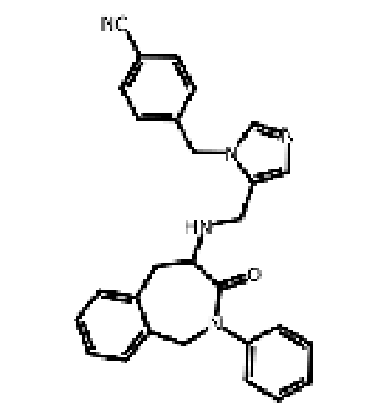 N#Cc1ccc(Cn2cncc2CNC2Cc3ccccc3CN(c3ccccc3)C2=O)cc1